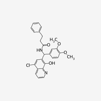 COc1ccc(C(NC(=O)CCc2ccccc2)c2cc(Cl)c3cccnc3c2O)cc1OC